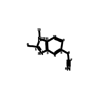 Cc1nc2cc(CC#N)ccc2n1C